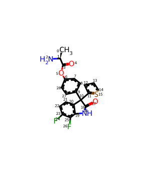 C[C@H](N)C(=O)Oc1ccc(C2(c3cccs3)C(=O)Nc3c2ccc(F)c3F)cc1